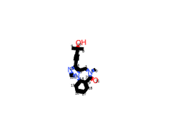 CN1Cc2c(C#CC(C)(C)O)ncn2-c2ccccc2C1=O